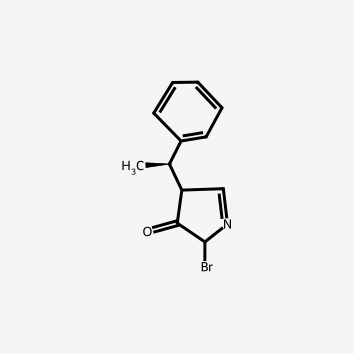 C[C@@H](c1ccccc1)C1C=NC(Br)C1=O